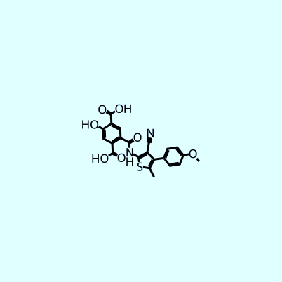 COc1ccc(-c2c(C)sc(NC(=O)c3cc(C(=O)O)c(O)cc3C(=O)O)c2C#N)cc1